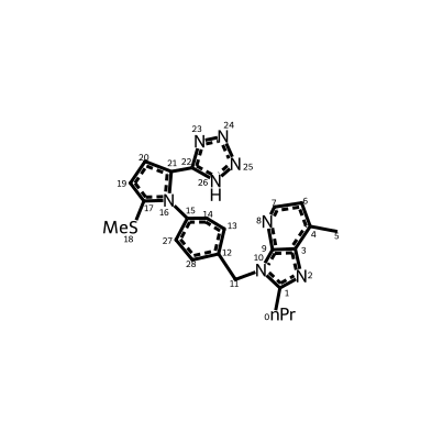 CCCc1nc2c(C)ccnc2n1Cc1ccc(-n2c(SC)ccc2-c2nnn[nH]2)cc1